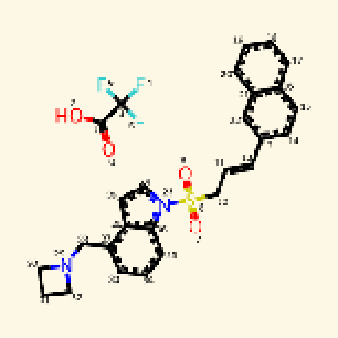 O=C(O)C(F)(F)F.O=S(=O)(CC=Cc1ccc2ccccc2c1)n1ccc2c(CN3CCC3)cccc21